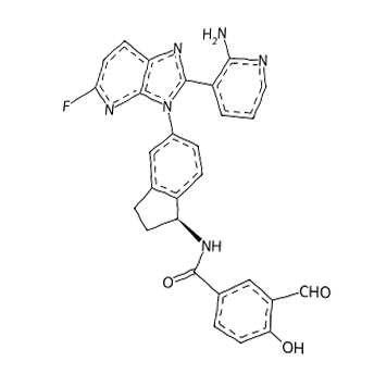 Nc1ncccc1-c1nc2ccc(F)nc2n1-c1ccc2c(c1)CC[C@@H]2NC(=O)c1ccc(O)c(C=O)c1